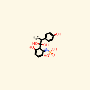 CC(c1ccc(O)cc1)C(O)(O)C1C(O)=CC=C/C1=N\P(=O)(O)O